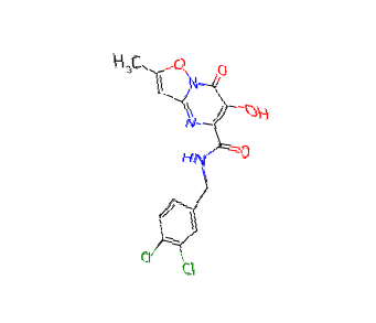 Cc1cc2nc(C(=O)NCc3ccc(Cl)c(Cl)c3)c(O)c(=O)n2o1